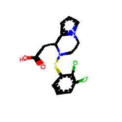 O=C(O)CC1c2cccn2CCN1Sc1cccc(Cl)c1Cl